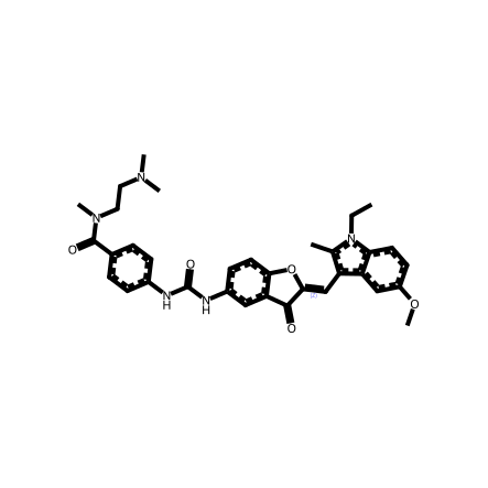 CCn1c(C)c(/C=C2\Oc3ccc(NC(=O)Nc4ccc(C(=O)N(C)CCN(C)C)cc4)cc3C2=O)c2cc(OC)ccc21